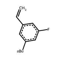 C=Cc1cc(F)cc(CCCC)c1